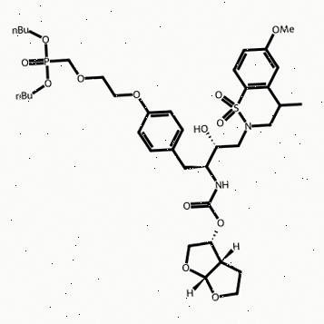 CCCCOP(=O)(COCCOc1ccc(C[C@H](NC(=O)O[C@H]2CO[C@H]3OCC[C@H]32)[C@H](O)CN2CC(C)c3cc(OC)ccc3S2(=O)=O)cc1)OCCCC